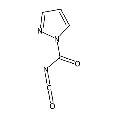 O=C=NC(=O)n1cccn1